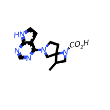 CC1CN(C(=O)O)C12CCN(c1ncnc3[nH]ccc13)C2